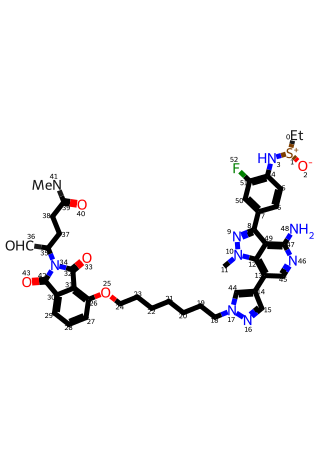 CC[S+]([O-])Nc1ccc(-c2nn(C)c3c(-c4cnn(CCCCCCCOc5cccc6c5C(=O)N(C(C=O)CCC(=O)NC)C6=O)c4)cnc(N)c23)cc1F